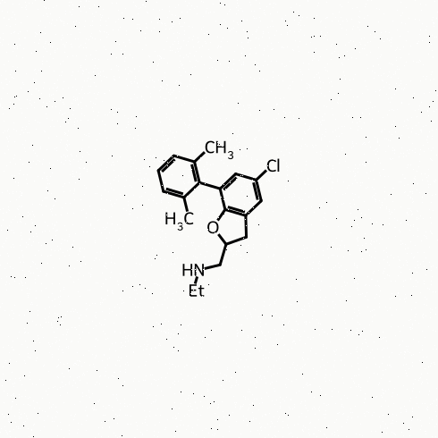 CCNCC1Cc2cc(Cl)cc(-c3c(C)cccc3C)c2O1